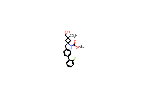 CC(C)(C)OC(=O)N[C@]1(Cc2ccc(-c3ccccc3F)cc2)C[C@@](CO)(C(=O)O)C1